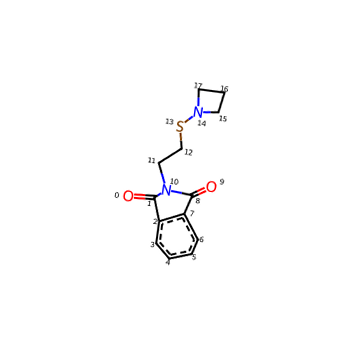 O=C1c2ccccc2C(=O)N1CCSN1CCC1